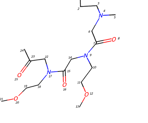 CCCCN(C)CC(=O)N(CCOC)CC(=O)N(CCOC)CC(C)=O